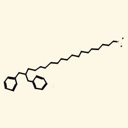 CN(C)CCCCCCCCCCCCCCCCCC(Cc1ccccc1)Cc1ccccc1.Cl